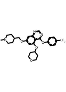 CN1CCC(COc2cc(OC3CCOCC3)c3c(Oc4ccc(C(F)(F)F)cc4)ncnc3c2)CC1